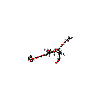 CSC(=O)OCc1ccc(NC(=O)CCCCN(C(N)=O)C2CC/C(NCCOCCOCCOCCOCCC(=O)NCCS(=O)(=O)O)=C(/NN)C(OCC(=O)NCCCC[C@@H](NC(=O)CCOCCOCCOCCOCCCC(=O)NCC(=O)N3Cc4ccccc4-c4c(nnn4C(C)C)-c4ccccc43)C(=O)N[C@H](C(N)=O)C(C)C)CC2)cc1